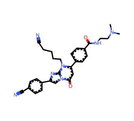 CN(C)CCNC(=O)c1ccc(-c2cc(=O)n3cc(-c4ccc(C#N)cc4)nc3n2CCCCC#N)cc1